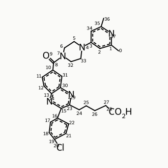 Cc1cc(N2CCN(C(=O)c3ccc4nc(-c5ccc(Cl)cc5)c(CCCCC(=O)O)nc4c3)CC2)cc(C)n1